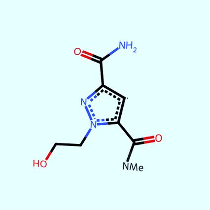 CNC(=O)c1[c]c(C(N)=O)nn1CCO